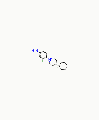 Nc1ccc(N2CCC(C3(F)CCCCC3)CC2)c(F)c1